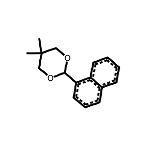 CC1(C)COC(c2cccc3ccccc23)OC1